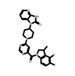 CC1CN(C(=O)c2cc(N3CCC(n4c(=O)[nH]c5ncccc54)CC3)ncn2)c2ccc(F)c(F)c21